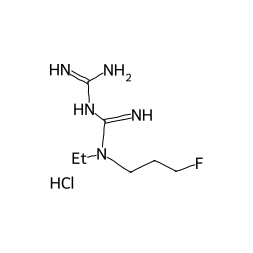 CCN(CCCF)C(=N)NC(=N)N.Cl